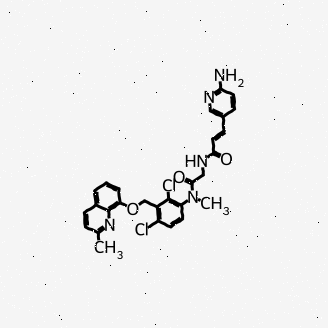 Cc1ccc2cccc(OCc3c(Cl)ccc(N(C)C(=O)CNC(=O)C=Cc4ccc(N)nc4)c3Cl)c2n1